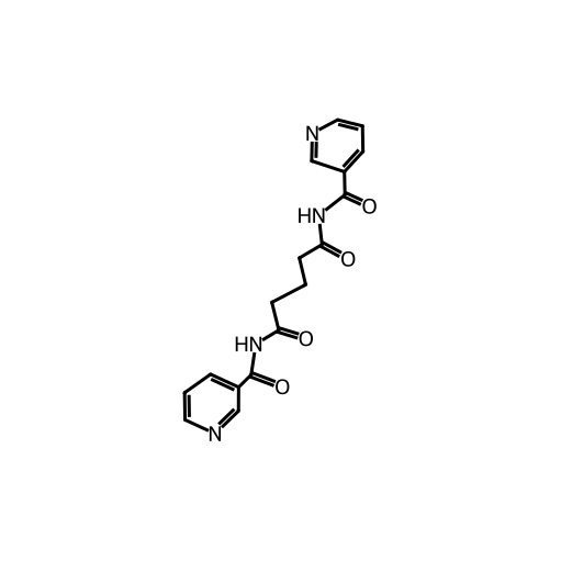 O=C(CCCC(=O)NC(=O)c1cccnc1)NC(=O)c1cccnc1